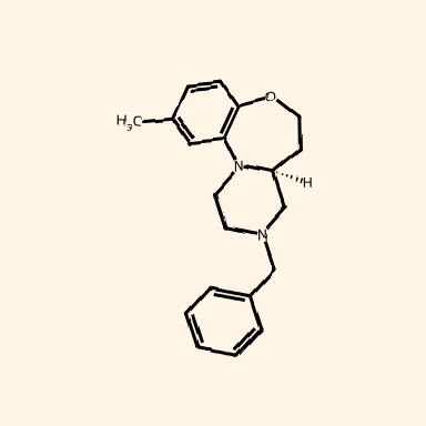 Cc1ccc2c(c1)N1CCN(Cc3ccccc3)C[C@@H]1CCO2